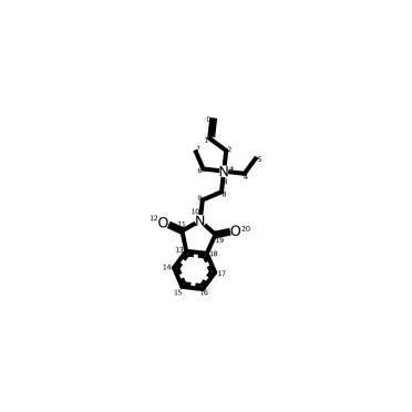 C=CC[N+](CC)(CC)CCN1C(=O)c2ccccc2C1=O